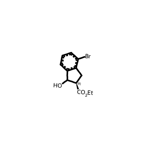 CCOC(=O)[C@@H]1Cc2c(Br)cccc2C1O